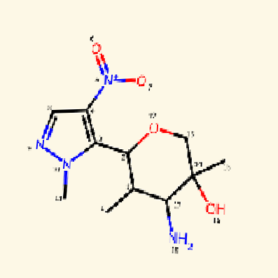 CC1C(c2c([N+](=O)[O-])cnn2C)OCC(C)(O)C1N